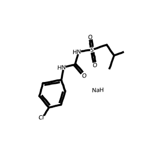 CC(C)CS(=O)(=O)NC(=O)Nc1ccc(Cl)cc1.[NaH]